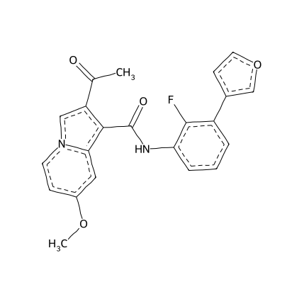 COc1ccn2cc(C(C)=O)c(C(=O)Nc3cccc(-c4ccoc4)c3F)c2c1